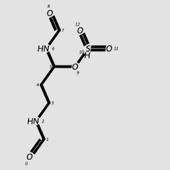 O=CNCCC(NC=O)O[SH](=O)=O